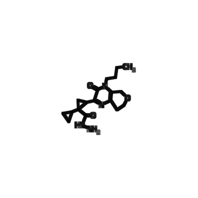 CCCCn1c2c(nc(C3CC3(C(=O)NN)C3CC3)c1=O)CCOC2